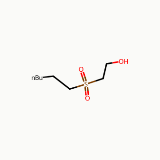 CCCCCCS(=O)(=O)CCO